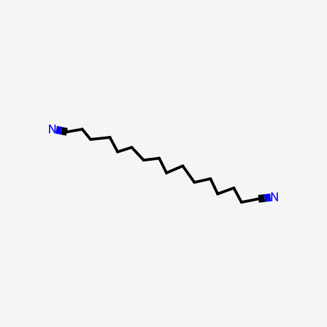 N#CCCCCCCCCCCCCCCC#N